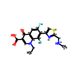 CCn1cc(C(=O)O)c(=O)c2cc(F)c(-c3csc(CNC)n3)c(F)c21